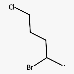 [CH2]C(Br)CCCCl